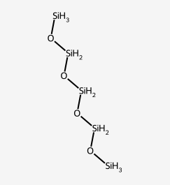 [SiH3]O[SiH2]O[SiH2]O[SiH2]O[SiH3]